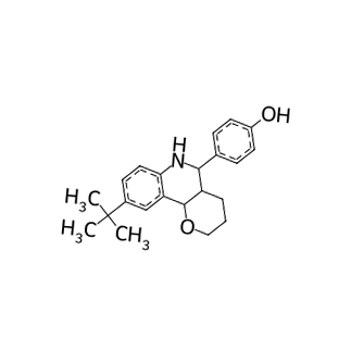 CC(C)(C)c1ccc2c(c1)C1OCCCC1C(c1ccc(O)cc1)N2